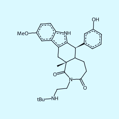 COc1ccc2[nH]c3c(c2c1)C[C@@]1(C)C(=O)N(CCNC(C)(C)C)C(=O)CCC1[C@@H]3c1cccc(O)c1